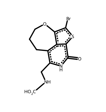 O=C(O)NCc1[nH]c(=O)c2sc(Br)c3c2c1CCCO3